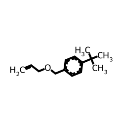 C=CCOCc1ccc(C(C)(C)C)cc1